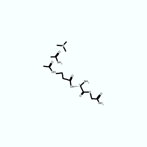 CC(=O)O.CC(N)=O.CCCC(=O)O.CN(C)C.C[C@H](N)C(=O)OCC(N)=O